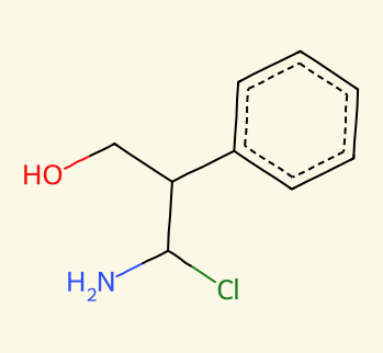 NC(Cl)C(CO)c1ccccc1